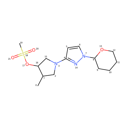 CC1CN(c2ccn(C3CCCCO3)n2)CC1OS(C)(=O)=O